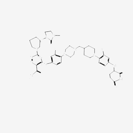 CN1CCN([C@@H]2CCCN(c3nnc(C(N)=O)c(Nc4ccc(N5CCN(CC6CCN(c7ccc(NC8CCC(=O)NC8=O)cc7F)CC6)CC5)c(F)c4)n3)C2)C1=O